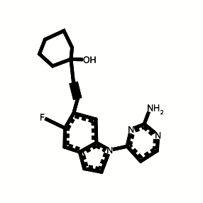 Nc1nccc(-n2ccc3cc(F)c(C#CC4(O)CCCCC4)cc32)n1